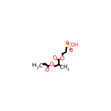 C=CC(=O)OCC(C)C(=O)OCCCS(=O)(=O)O